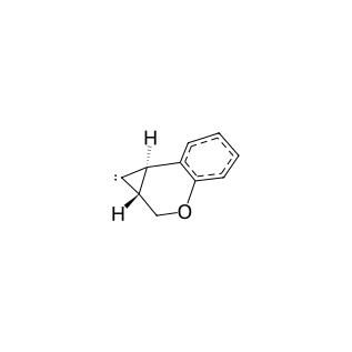 [C]1[C@H]2COc3ccccc3[C@H]12